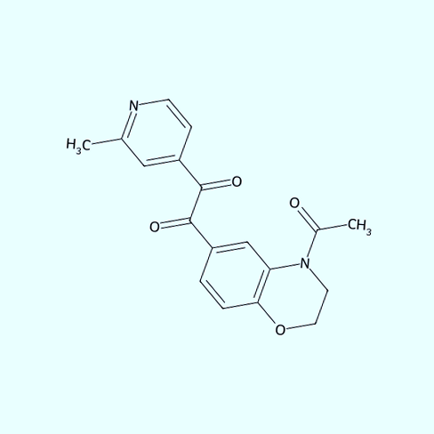 CC(=O)N1CCOc2ccc(C(=O)C(=O)c3ccnc(C)c3)cc21